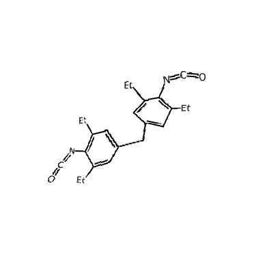 CCc1cc(Cc2cc(CC)c(N=C=O)c(CC)c2)cc(CC)c1N=C=O